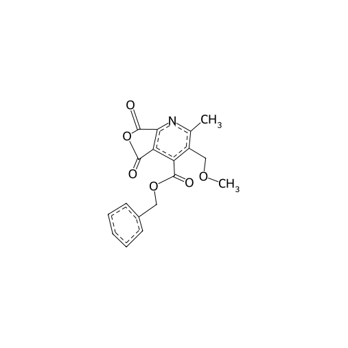 COCc1c(C)nc2c(c1C(=O)OCc1ccccc1)C(=O)OC2=O